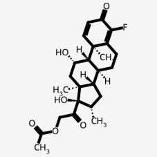 CC(=O)OCC(=O)[C@@]1(O)[C@@H](C)C[C@H]2[C@@H]3CCC4=C(F)C(=O)C=C[C@]4(C)[C@H]3[C@@H](O)C[C@@]21C